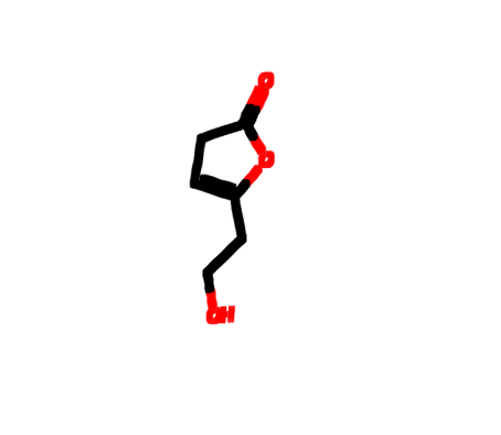 O=C1CC=C(CCO)O1